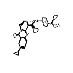 O=C(NC12CCC(C(=O)O)(CC1)CC2)c1cccn2c(=O)c3cc(C4CC4)ccc3nc12